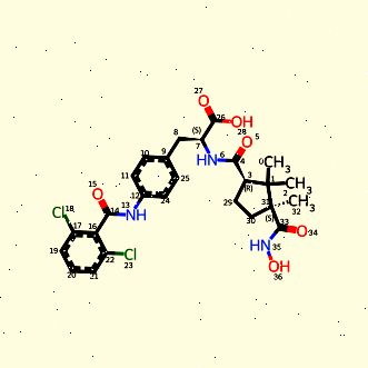 CC1(C)[C@H](C(=O)N[C@@H](Cc2ccc(NC(=O)c3c(Cl)cccc3Cl)cc2)C(=O)O)CC[C@]1(C)C(=O)NO